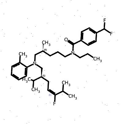 CCCN(CCC[C@@H](C)CN(C[C@@H](C/C=C(/F)C(C)C)C(C)C)c1ccccc1C)C(=O)c1ccc(C(F)F)cc1